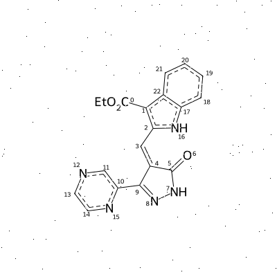 CCOC(=O)c1c(C=C2C(=O)NN=C2c2cnccn2)[nH]c2ccccc12